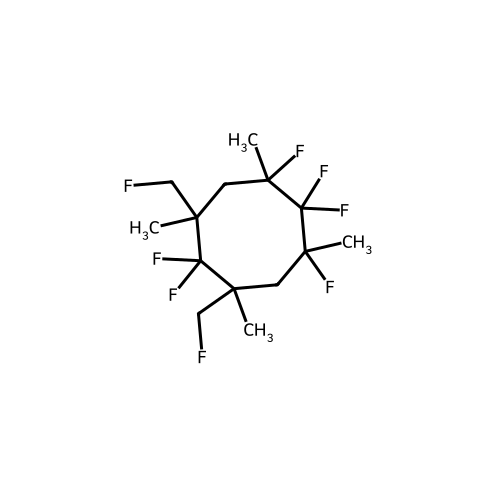 CC1(F)CC(C)(CF)C(F)(F)C(C)(CF)CC(C)(F)C1(F)F